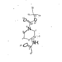 CC(=O)N[C@@]1(C)CCCN(C(=O)OC(C)(C)C)C1